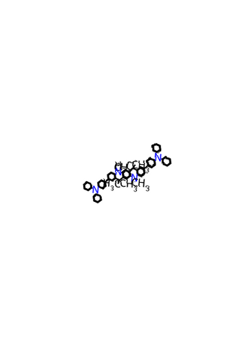 CN1c2ccc(-c3ccc(N(c4ccccc4)c4ccccc4)cc3)cc2C(C)(C)c2cc3c(cc21)C(C)(C)c1cc(-c2ccc(N(c4ccccc4)c4ccccc4)cc2)ccc1N3C